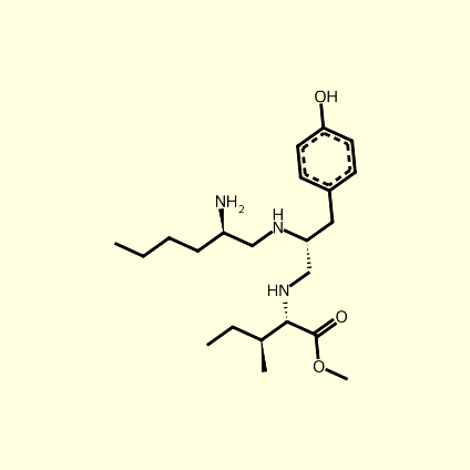 CCCC[C@@H](N)CN[C@@H](CN[C@H](C(=O)OC)[C@@H](C)CC)Cc1ccc(O)cc1